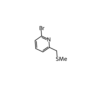 CSCc1cccc(Br)n1